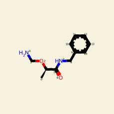 C[C@@H](OCN)C(=O)NCc1ccccc1